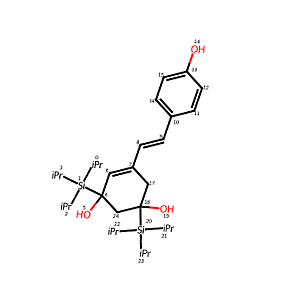 CC(C)[Si](C(C)C)(C(C)C)C1(O)C=C(C=Cc2ccc(O)cc2)CC(O)([Si](C(C)C)(C(C)C)C(C)C)C1